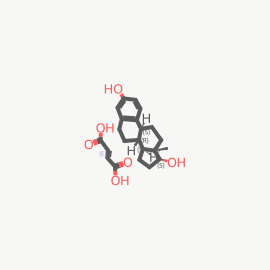 C[C@]12CC[C@@H]3c4ccc(O)cc4CC[C@H]3[C@@H]1CC[C@@H]2O.O=C(O)/C=C/C(=O)O